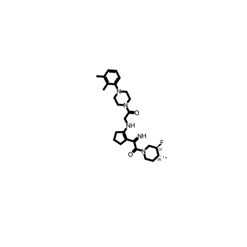 Cc1cccc(N2CCN(C(=O)CNC3=C(C(=N)C(=O)N4CC[C@@H](C)[C@H](F)C4)CCC3)CC2)c1C